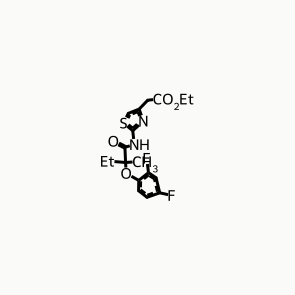 CCOC(=O)Cc1csc(NC(=O)C(C)(CC)Oc2ccc(F)cc2F)n1